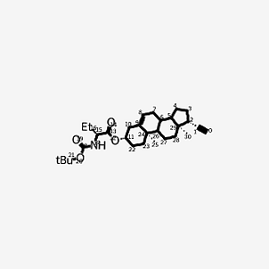 C#C[C@H]1CCC2C3CC=C4C[C@@H](OC(=O)[C@H](CC)NC(=O)OC(C)(C)C)CC[C@]4(C)C3CC[C@@]21C